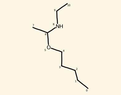 CCCCCOC(C)NCC